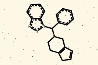 C1=CC2=C(C1)CCC(C(c1ccccc1)n1nnc3ccccc31)C2